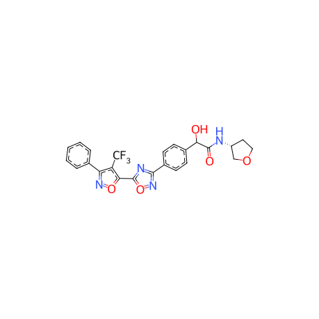 O=C(N[C@@H]1CCOC1)C(O)c1ccc(-c2noc(-c3onc(-c4ccccc4)c3C(F)(F)F)n2)cc1